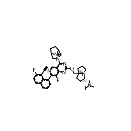 C#Cc1c(F)ccc2cccc(-c3ncc4c(N5CC6CCC(C5)N6)nc(OC[C@@]56CCCN5[C@H](CN(C)I)CC6)nc4c3F)c12